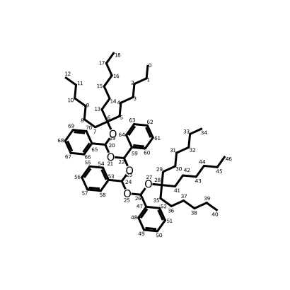 CCCCCCC(CCCCCC)(CCCCCC)OC(OC(OC(OC(OC(CCCCCC)(CCCCCC)CCCCCC)c1ccccc1)c1ccccc1)c1ccccc1)c1ccccc1